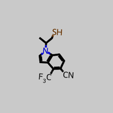 CC(CS)n1ccc2c(C(F)(F)F)c(C#N)ccc21